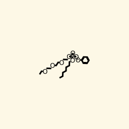 CCCCCCCOP(=O)(OCCOCCOCCOCC)OOc1ccccc1